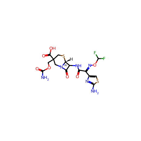 NC(=O)OCC1(C(=O)O)CS[C@@H]2C(NC(=O)C(=NOC(F)F)c3csc(N)n3)C(=O)N2C1